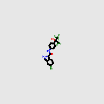 O=C(Nc1ccc(C(O)(C(F)(F)F)C(F)(F)F)cc1)c1[nH]cc2cc(Br)ccc12